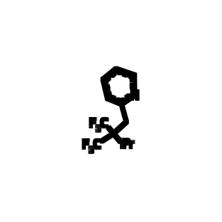 CC(C)C(Cc1ccccn1)(C(F)(F)F)C(F)(F)F